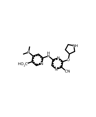 CN(C)c1cc(Nc2cnc(C#N)c(OC3CCNC3)n2)ncc1C(=O)O